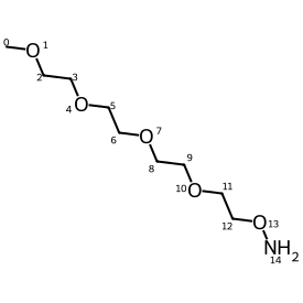 COCCOCCOCCOCCON